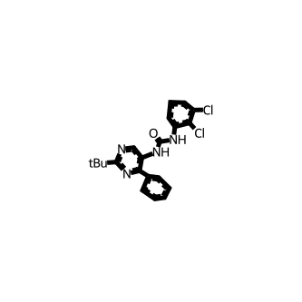 CC(C)(C)c1ncc(NC(=O)Nc2cccc(Cl)c2Cl)c(-c2ccccc2)n1